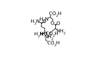 NC(=O)CCC(N)C(=O)O.NC(COC(=O)C(N)CC(=O)O)C(=O)O.NCC(=O)O